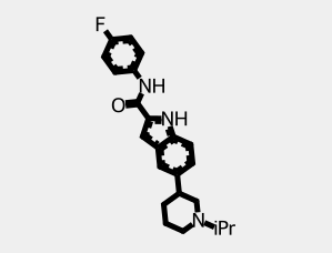 CC(C)N1CCCC(c2ccc3[nH]c(C(=O)Nc4ccc(F)cc4)cc3c2)C1